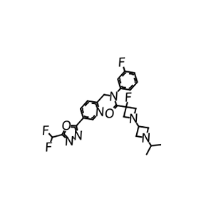 CC(C)N1CC(N2CC(F)(C(=O)N(Cc3ccc(-c4nnc(C(F)F)o4)cn3)c3cccc(F)c3)C2)C1